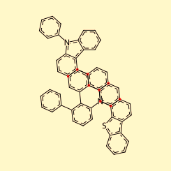 c1ccc(-c2ccccc2-c2c(-c3ccccc3)cccc2N(c2cccc(-c3cccc4c3c3ccccc3n4-c3ccccc3)c2)c2cccc3c2sc2ccccc23)cc1